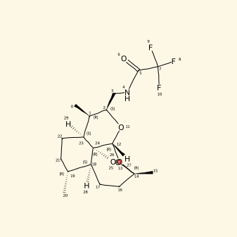 C[C@H]1[C@@H](CNC(=O)C(F)(F)F)O[C@@H]2O[C@@]3(C)CC[C@H]4[C@H](C)CC[C@@H]1[C@@]24OO3